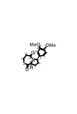 COc1ccc([C@H]2CC[C@H]3C(=O)SCCC(=O)N23)cc1OC